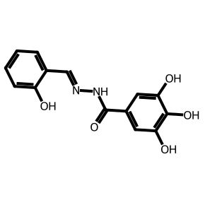 O=C(NN=Cc1ccccc1O)c1cc(O)c(O)c(O)c1